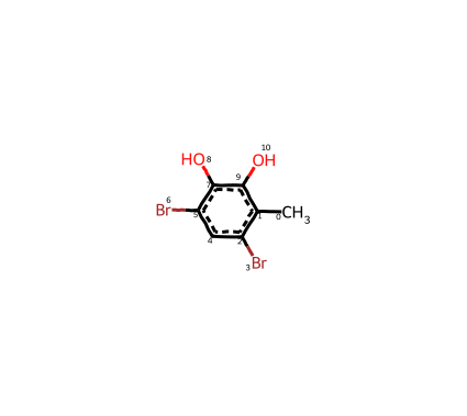 Cc1c(Br)cc(Br)c(O)c1O